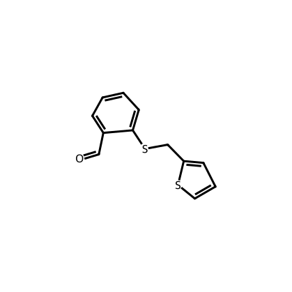 O=Cc1ccccc1SCc1cccs1